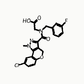 Cn1nc(C(=O)N(CC(=O)O)Cc2cccc(F)c2)c2c1-c1cc(Cl)ccc1OC2